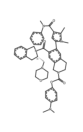 Cc1c(C(=O)N(C)c2ccccc2)cc(-c2cc3c(cc2C(=O)N2Cc4ccccc4C[C@H]2CN2CCOCC2)CN(C(=O)Oc2ccc(N(C)C)cc2)CC3)n1C